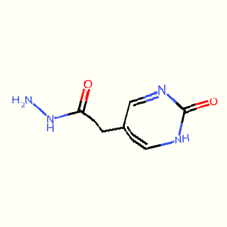 NNC(=O)Cc1cnc(=O)[nH]c1